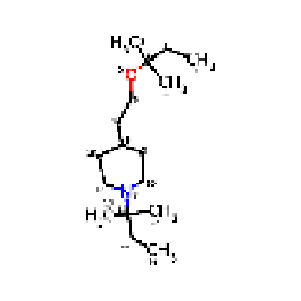 CCC(C)(C)OCCC1CCN(C(C)(C)CC)CC1